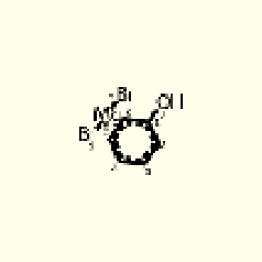 Oc1ccccc1.[Br][Mg][Br]